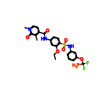 CCOc1cc(NC(=O)c2ccn(C)c(=O)c2C)ccc1S(=O)(=O)Nc1cccc(OC(F)(F)P)c1